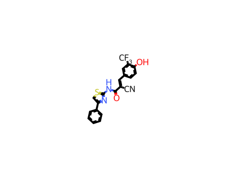 N#C/C(=C\c1ccc(O)c(C(F)(F)F)c1)C(=O)Nc1nc(-c2ccccc2)cs1